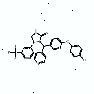 O=C1NCC(c2cccc(C(F)(F)F)c2)N1C(c1ccncc1)c1ccc(Oc2ccc(Cl)cc2)cc1